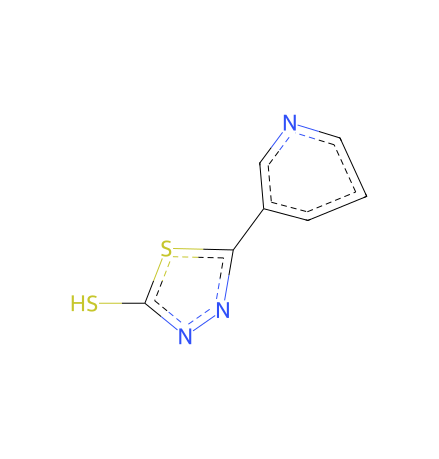 Sc1nnc(-c2cccnc2)s1